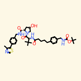 Cc1ncsc1-c1ccc(CNC(=O)[C@@H]2C[C@@H](O)CN2C(=O)[C@@H](NC(=O)CCCCc2ccc(CNC(=O)OC(C)(C)C)cc2)C(C)(C)C)cc1